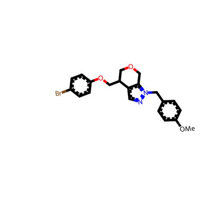 COc1ccc(Cn2ncc3c2COCC3COc2ccc(Br)cc2)cc1